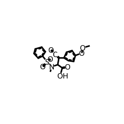 COOc1ccc(C(=C=O)C(C(=O)O)N(C)S(=O)(=O)c2ccccc2)cc1